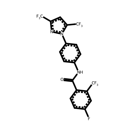 O=C(Nc1ccc(-n2nc(C(F)(F)F)cc2C(F)(F)F)cc1)c1ccc(F)cc1C(F)(F)F